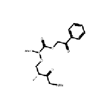 CNCC(=O)[C@H](C)COB(OC)C(=O)OCC(=O)c1ccccc1